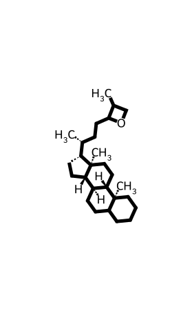 CC1COC1CC[C@@H](C)[C@H]1CC[C@H]2[C@@H]3CCC4CCCC[C@]4(C)[C@H]3CC[C@]12C